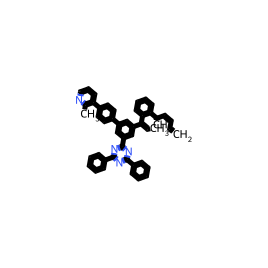 C=C/C=C\C(=C)c1ccccc1/C(=C\C)c1cc(-c2ccc(-c3cccnc3C)cc2)cc(-c2nc(-c3ccccc3)nc(-c3ccccc3)n2)c1